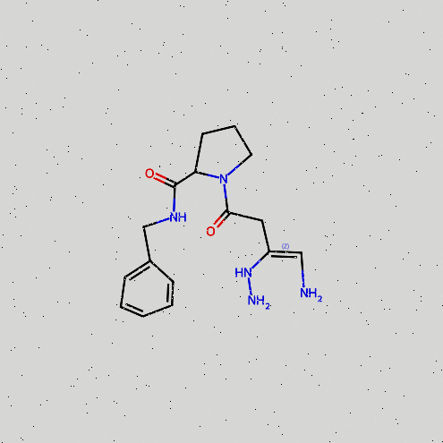 N/C=C(/CC(=O)N1CCCC1C(=O)NCc1ccccc1)NN